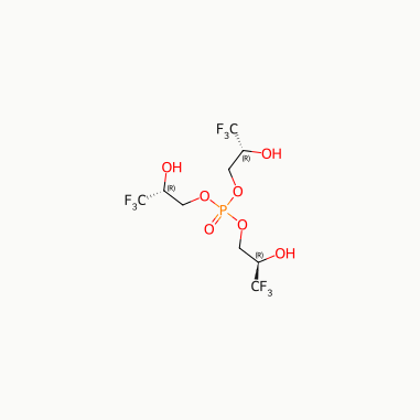 O=P(OC[C@@H](O)C(F)(F)F)(OC[C@@H](O)C(F)(F)F)OC[C@@H](O)C(F)(F)F